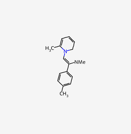 CN/C(=C\N1CC=CC=C1C)c1ccc(C)cc1